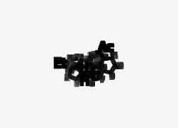 CC[C@H]1CC[C@H]2[C@@H]3CCC4CCCC(C(C)C(C)=O)[C@]4(C)[C@H]3CC[C@]12C